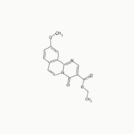 CCOC(=O)c1cnc2c3cc(OC)ccc3ccn2c1=O